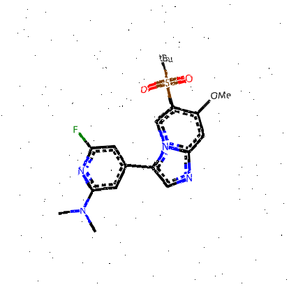 COc1cc2ncc(-c3cc(F)nc(N(C)C)c3)n2cc1S(=O)(=O)C(C)(C)C